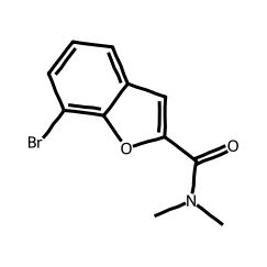 CN(C)C(=O)c1cc2cccc(Br)c2o1